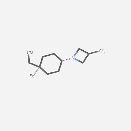 CC[C@]1(CC#N)CC[C@H](N2CC(C(F)(F)F)C2)CC1